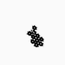 c1ccc(-c2cc(-c3ccccc3-c3ccccc3-c3cc(-c4ccccc4)c(-c4ccccc4)c(-c4ccccc4)c3-c3ccccc3)nc(-c3ccccc3)n2)cc1